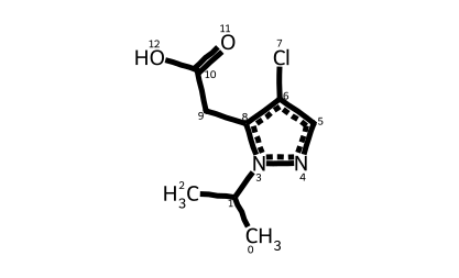 CC(C)n1ncc(Cl)c1CC(=O)O